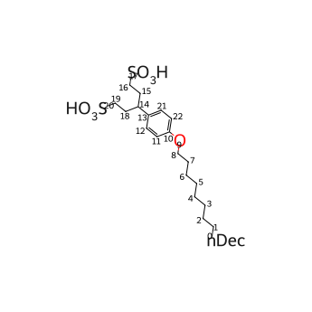 CCCCCCCCCCCCCCCCCCOc1ccc(C(CCS(=O)(=O)O)CCS(=O)(=O)O)cc1